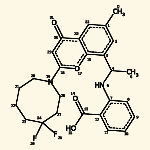 Cc1cc(C(C)Nc2ccccc2C(=O)O)c2oc(N3CCCCC(F)(F)CC3)cc(=O)c2c1